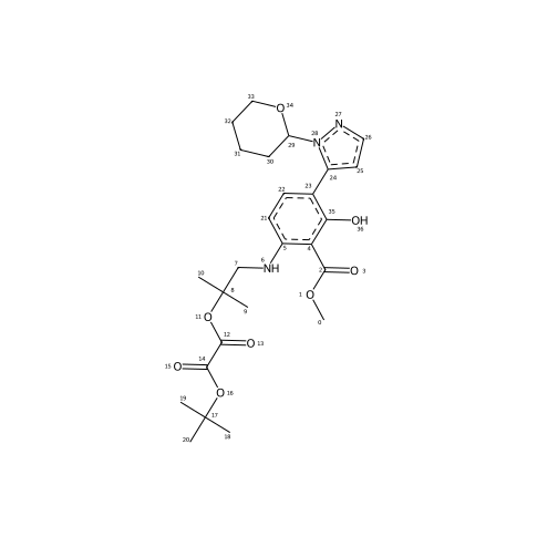 COC(=O)c1c(NCC(C)(C)OC(=O)C(=O)OC(C)(C)C)ccc(-c2ccnn2C2CCCCO2)c1O